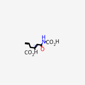 C=CC/C(=C/C(=O)NC(=O)O)C(=O)O